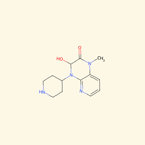 CN1C(=O)C(O)N(C2CCNCC2)c2ncccc21